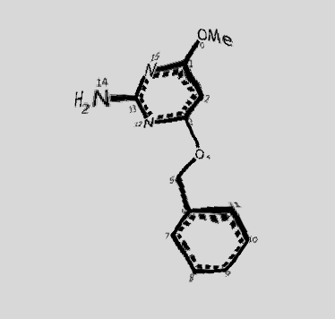 COc1cc(OCc2ccccc2)nc(N)n1